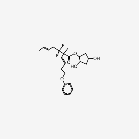 CC=CCC(F)(F)C(C)(C=CCCOc1ccccc1)C(=O)OC1CC(O)CC1O